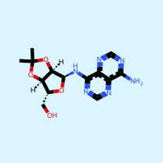 CC1(C)O[C@@H]2[C@H](O1)[C@@H](CO)O[C@@H]2Nc1ncnc2c(N)ncnc12